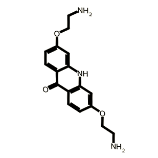 NCCOc1ccc2c(=O)c3ccc(OCCN)cc3[nH]c2c1